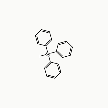 I[Se](c1ccccc1)(c1ccccc1)c1ccccc1